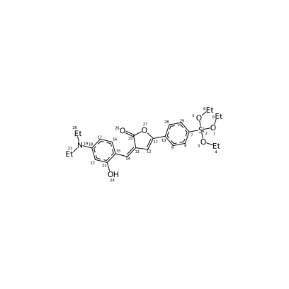 CCO[Si](OCC)(OCC)c1ccc(C2=C/C(=C/c3ccc(N(CC)CC)cc3O)C(=O)O2)cc1